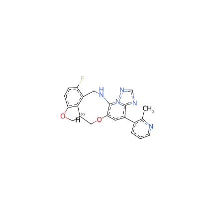 Cc1ncccc1-c1cc2c(n3ncnc13)NCc1c(F)ccc3c1[C@H](CO3)CO2